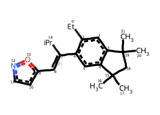 CCc1cc2c(cc1/C(=C/c1ccno1)C(C)C)C(C)(C)CC2(C)C